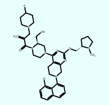 C=C(CN1CCC(F)CC1)C(=O)N1CCN(c2nc(OC[C@@H]3CCCN3C)nc3c2CCN(c2cccc4cccc(Cl)c24)C3)C[C@@H]1CC#N